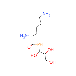 NCCCCC(N)C(=O)PC(O)C(O)CO